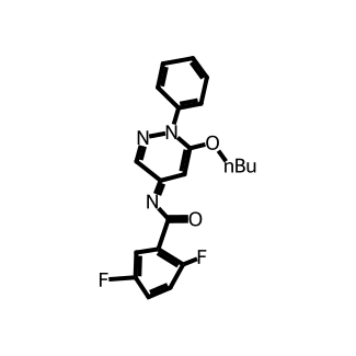 CCCCOc1c/c(=N\C(=O)c2cc(F)ccc2F)cnn1-c1ccccc1